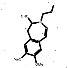 COc1cc2c(cc1OC)CC(C=O)N(CCI)C=C2